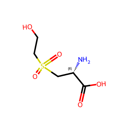 N[C@@H](CS(=O)(=O)CCO)C(=O)O